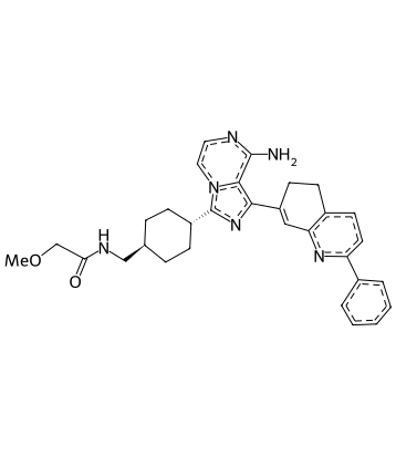 COCC(=O)NC[C@H]1CC[C@H](c2nc(C3=Cc4nc(-c5ccccc5)ccc4CC3)c3c(N)nccn32)CC1